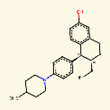 CC(C)C[C@@H]1CCc2cc(O)ccc2[C@@H]1c1ccc(N2CCC(C=O)CC2)cc1